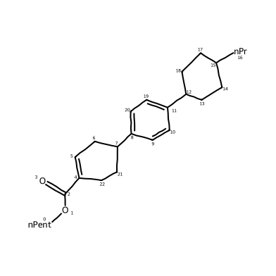 CCCCCOC(=O)C1=CCC(c2ccc(C3CCC(CCC)CC3)cc2)CC1